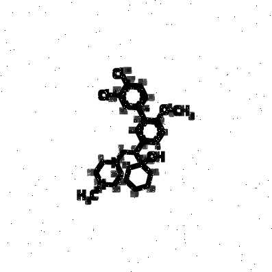 COc1ccc(C(CN2CCN(C)CC2)C2(O)CCCCC2)cc1-c1ccc(Cl)c(Cl)c1